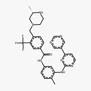 Cc1ccc(NC(=O)c2ccc(CN3CCN[C@@H](C)C3)c(C(F)(F)F)c2)cc1Nc1nccc(-c2cncnc2)n1